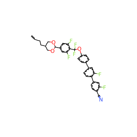 C=CCCC1COC(c2cc(F)c(C(F)(F)Oc3ccc(-c4ccc(-c5ccc(C#N)c(F)c5)c(F)c4)cc3)c(F)c2)OC1